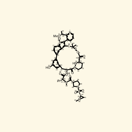 CCn1c(-c2cccnc2[C@H](C)OC)c2c3cc(ccc31)-c1cc(O)cc(c1)C[C@H](NC(=O)[C@H](C(C)C)N(C)C(=O)[C@H]1CCN(S(=O)(=O)[C@H]3CN3C)C1)C(=O)N1CCC[C@H](N1)C(=O)OCC(C)(C)C2